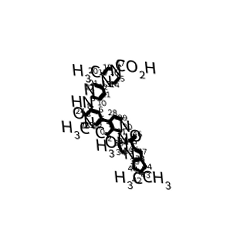 CC(O)c1c(-c2cc(Nc3ccc(N4CCN(C(=O)O)C[C@@H]4C)cn3)c(=O)n(C)c2)ccnc1N1CCn2c(cc3c2CC(C)(C)C3)C1=O